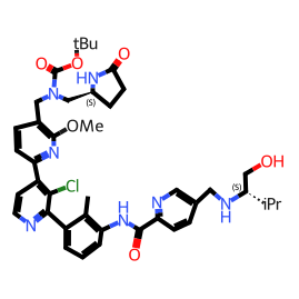 COc1nc(-c2ccnc(-c3cccc(NC(=O)c4ccc(CN[C@H](CO)C(C)C)cn4)c3C)c2Cl)ccc1CN(C[C@@H]1CCC(=O)N1)C(=O)OC(C)(C)C